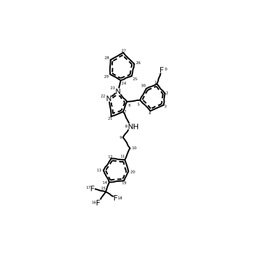 Fc1cccc(-c2c(NCCc3ccc(C(F)(F)F)cc3)cnn2-c2ccccc2)c1